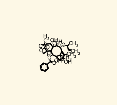 C=CC(C)O[C@@H]1C2=C(C)[C@@H](O)C[C@@](O)([C@@H](OC(=O)c3ccccc3)[C@H]3[C@](C)(C1C)[C@@H](O)CC1OC[C@]13OC(C)=O)C2(C)C